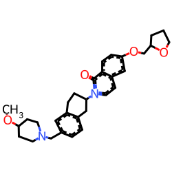 COC1CCN(Cc2ccc3c(c2)CCC(n2ccc4cc(OCC5CCCO5)ccc4c2=O)C3)CC1